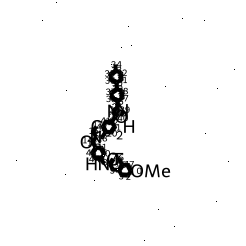 COc1ccc(CC(=O)Nc2ccc(C(=O)N(CC(=O)O)Cc3ccc(-c4nc(-c5ccc(-c6ccc(C)cc6)cc5)no4)cc3)cc2)c(F)c1